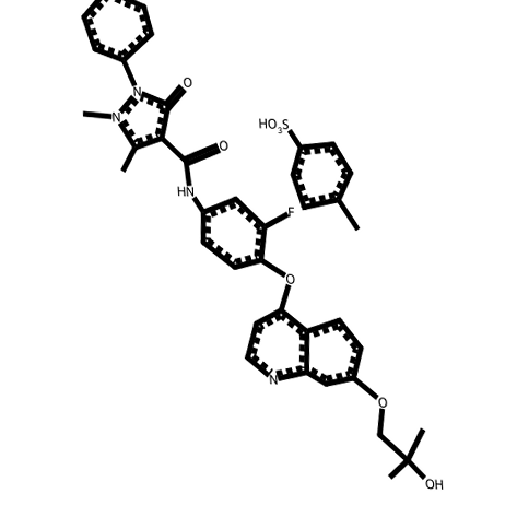 Cc1c(C(=O)Nc2ccc(Oc3ccnc4cc(OCC(C)(C)O)ccc34)c(F)c2)c(=O)n(-c2ccccc2)n1C.Cc1ccc(S(=O)(=O)O)cc1